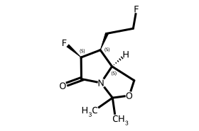 CC1(C)OC[C@@H]2[C@H](CCF)[C@H](F)C(=O)N21